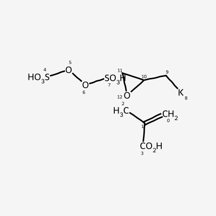 C=C(C)C(=O)O.O=S(=O)(O)OOS(=O)(=O)O.[K][CH2]C1CO1